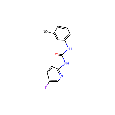 N#Cc1cccc(NC(=O)Nc2ccc(I)cn2)c1